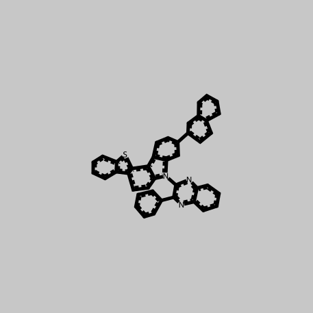 c1ccc(-c2nc3ccccc3nc2-n2c3cc(-c4ccc5ccccc5c4)ccc3c3c4sc5ccccc5c4ccc32)cc1